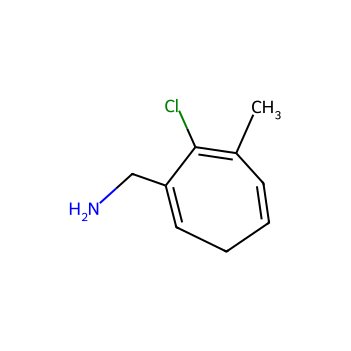 CC1=C(Cl)C(CN)=CCC=C1